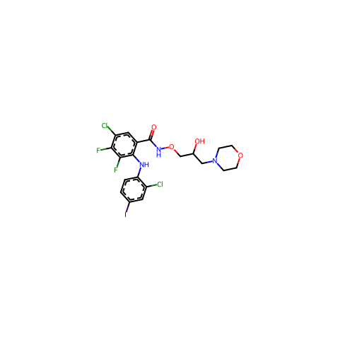 O=C(NOCC(O)CN1CCOCC1)c1cc(Cl)c(F)c(F)c1Nc1ccc(I)cc1Cl